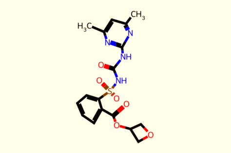 Cc1cc(C)nc(NC(=O)NS(=O)(=O)c2ccccc2C(=O)OC2COC2)n1